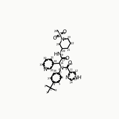 CC(C)(C)c1ccc(N(C(=O)c2c[nH]cn2)C(C(=O)NC2CCCN(S(C)(=O)=O)C2)c2cccnc2)cc1